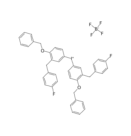 F[B-](F)(F)F.Fc1ccc(Cc2cc([I+]c3ccc(OCc4ccccc4)c(Cc4ccc(F)cc4)c3)ccc2OCc2ccccc2)cc1